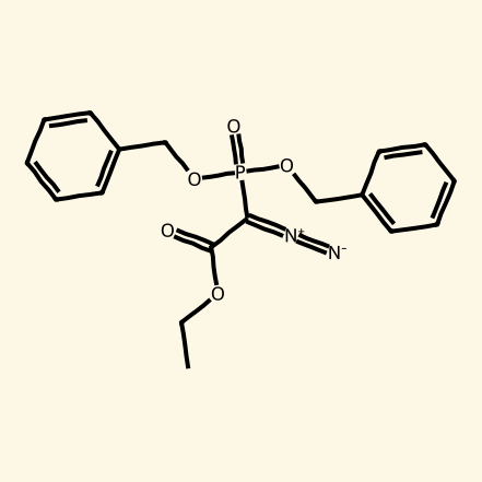 CCOC(=O)C(=[N+]=[N-])P(=O)(OCc1ccccc1)OCc1ccccc1